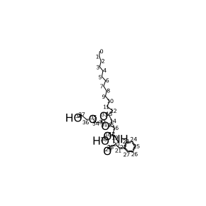 CCCCCCCCCCCCCCCC(CC(=O)N[C@@H](Cc1ccccc1)C(=O)O)OC(=O)COCCO